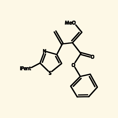 C=C(C(=COC)C(=O)Oc1ccccc1)c1csc(C(C)CCC)n1